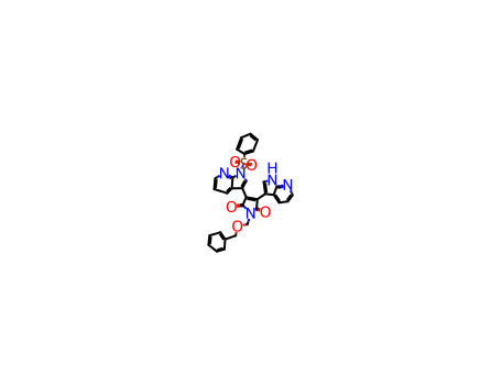 O=C1C(c2c[nH]c3ncccc23)=C(c2cn(S(=O)(=O)c3ccccc3)c3ncccc23)C(=O)N1COCc1ccccc1